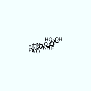 CCC(C)(O)c1cc(F)c(CC(=O)Nc2ccnc(C(=O)NC3(C(F)(F)F)CC3)c2)cc1O